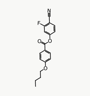 CCCCOc1ccc(C(=O)Oc2ccc(C#N)c(F)c2)cc1